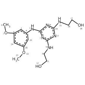 COc1cc(Nc2nc(NCCO)nc(NCCO)n2)cc(OC)c1